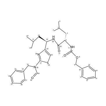 CC(C)C[C@H](NC(=O)OCc1ccccc1)C(=O)N[C@H](CC(C)C)c1csc(N(C=O)Cc2ccccc2)n1